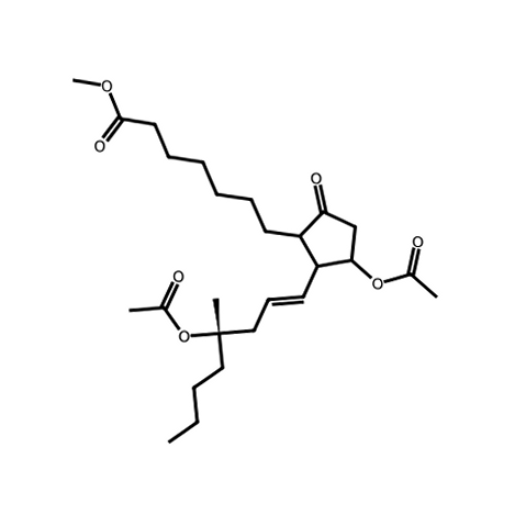 CCCC[C@@](C)(CC=CC1C(OC(C)=O)CC(=O)C1CCCCCCC(=O)OC)OC(C)=O